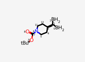 BC(B)=C1CCN(C(=O)OC(C)(C)C)CC1